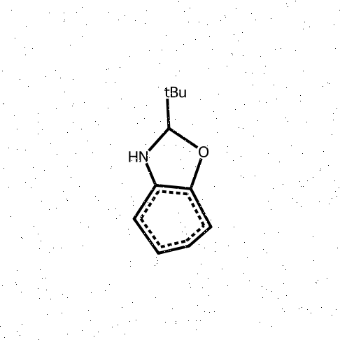 CC(C)(C)C1Nc2ccccc2O1